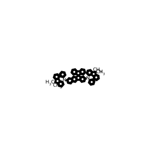 CC1(C)c2ccccc2-c2c(N(c3ccccc3)c3ccc4c(c3)C3(c5ccccc5-c5ccccc53)c3cc5cc(N(c6ccccc6)c6cccc7c6-c6ccccc6C7(C)C)ccc5cc3-4)cccc21